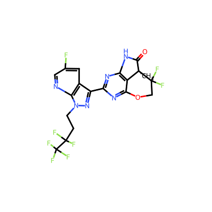 C[C@@]12C(=O)Nc3nc(-c4nn(CCC(F)(F)C(F)(F)F)c5ncc(F)cc45)nc(c31)OCC2(F)F